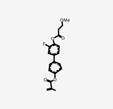 C=C(C)C(=O)Oc1ccc(-c2ccc(OC(=O)CCOC)c(F)c2)cc1